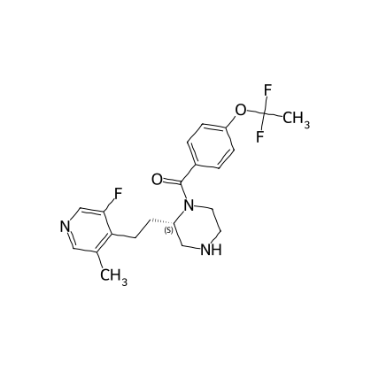 Cc1cncc(F)c1CC[C@H]1CNCCN1C(=O)c1ccc(OC(C)(F)F)cc1